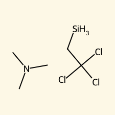 CN(C)C.[SiH3]CC(Cl)(Cl)Cl